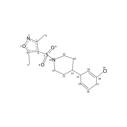 Cc1noc(C)c1S(=O)(=O)N1CCC(C2C=CCC(Cl)=C2)CC1